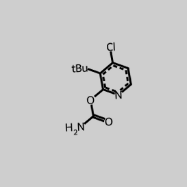 CC(C)(C)c1c(Cl)ccnc1OC(N)=O